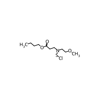 CCCCOC(=O)CCN(CCOC)SCl